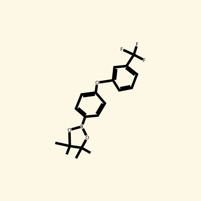 CC1(C)OB(c2ccc(Oc3cccc(C(F)(F)F)c3)cc2)OC1(C)C